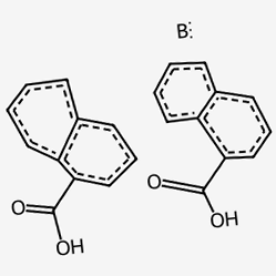 O=C(O)c1cccc2ccccc12.O=C(O)c1cccc2ccccc12.[B]